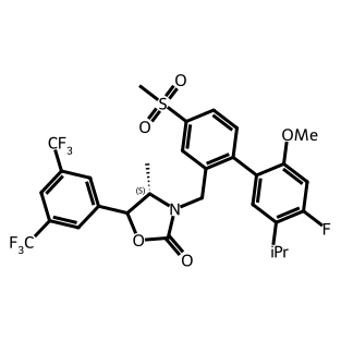 COc1cc(F)c(C(C)C)cc1-c1ccc(S(C)(=O)=O)cc1CN1C(=O)OC(c2cc(C(F)(F)F)cc(C(F)(F)F)c2)[C@@H]1C